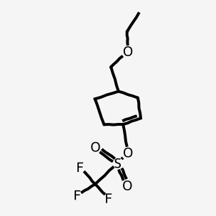 CCOCC1CC=C(OS(=O)(=O)C(F)(F)F)CC1